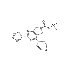 CC(C)(C)OC(=O)N1Cc2nc(-c3cncnc3)nc(C3C=COCC3)c2C1